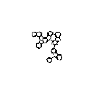 c1ccc(-n2c3ccccc3c3cc(-c4nc(-n5c6ccccc6c6c7c8ccc9ccccc9c8n8c9ccccc9c(cc65)c78)c5c(n4)sc4ccccc45)ccc32)cc1